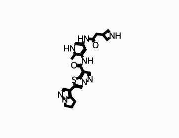 CC1NC=C(NC(=O)CC2CNC2)C=C1NC(=O)c1cnn2cc(-c3cnn4c3CCC4)sc12